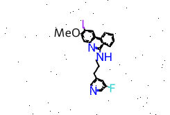 COc1cc2nc(NCCCc3cncc(F)c3)c3ccccc3c2cc1I